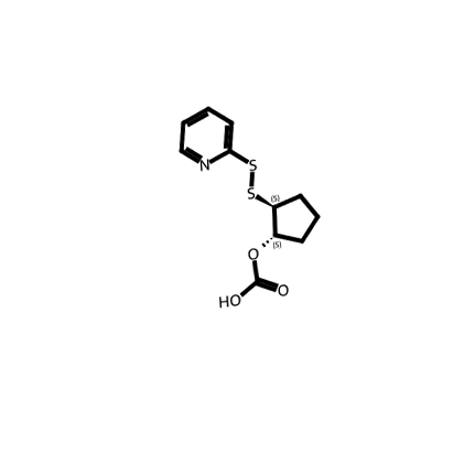 O=C(O)O[C@H]1CCC[C@@H]1SSc1ccccn1